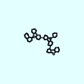 c1ccc(-n2c3ccc(-c4ccc5c(c4)c4ccccc4n5-c4cccc5ccccc45)cc3c3cc(-c4cccc5oc6ccccc6c45)ccc32)cc1